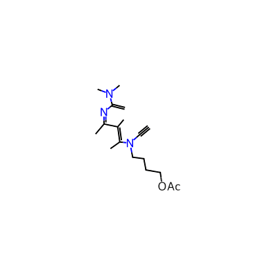 C#CN(CCCCOC(C)=O)/C(C)=C(C)/C(C)=N\C(=C)N(C)C